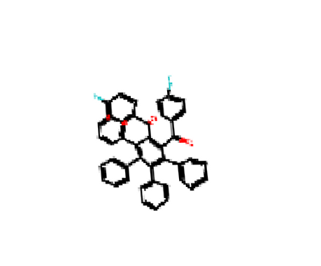 O=C(c1ccc(F)cc1)c1c(C(=O)c2ccc(F)cc2)c(-c2ccccc2)c(-c2ccccc2)c(-c2ccccc2)c1-c1ccccc1